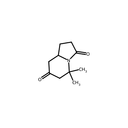 CC1(C)CC(=O)CC2CCC(=O)N21